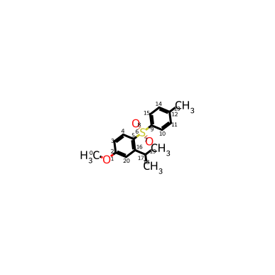 COc1ccc(S(=O)(=O)c2ccc(C)cc2)c(C(C)C)c1